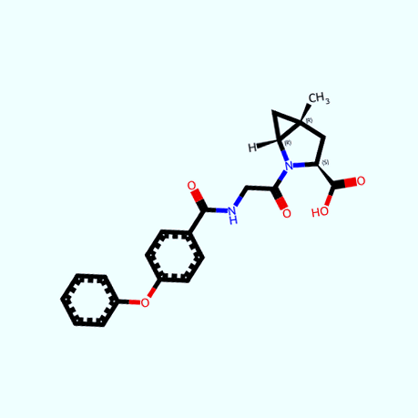 C[C@@]12C[C@@H](C(=O)O)N(C(=O)CNC(=O)c3ccc(Oc4ccccc4)cc3)[C@@H]1C2